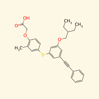 CCC(CC)COc1cc(C#Cc2ccccc2)cc(Sc2ccc(OCC(=O)O)c(C)c2)c1